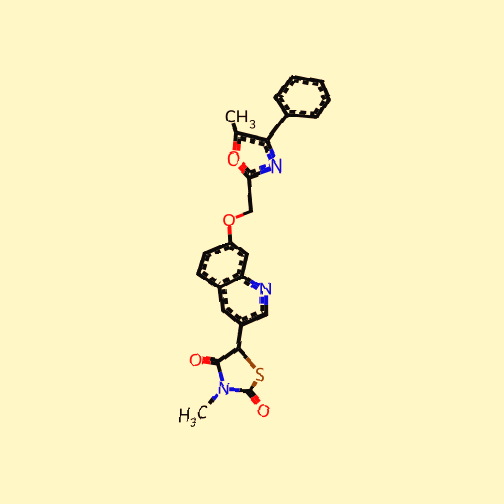 Cc1oc(COc2ccc3cc(C4SC(=O)N(C)C4=O)cnc3c2)nc1-c1ccccc1